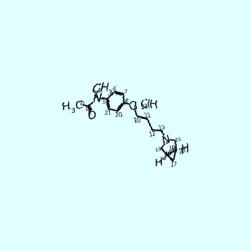 CC(=O)N(C)c1ccc(OCCCCN2C[C@H]3C[C@H]3C2)cc1.Cl